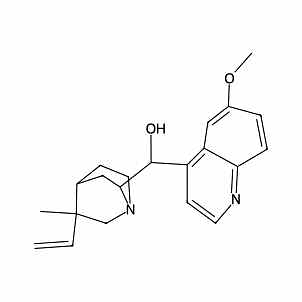 C=CC1(C)CN2CCC1CC2C(O)c1ccnc2ccc(OC)cc12